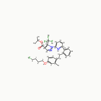 Cc1cc(OCCCCF)ccc1CCc1ccccc1-c1cccc(-n2ncc(C(=O)OC(C)C)c2C(F)(F)F)n1